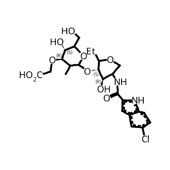 CCC1OCC(NC(=O)c2cc3cc(Cl)ccc3[nH]2)[C@@H](O)[C@@H]1OC1OC(CO)[C@@H](O)[C@H](OCC(=O)O)C1C